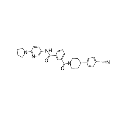 N#Cc1ccc(C2CCN(C(=O)c3cccc(C(=O)Nc4ccc(N5CCCC5)nc4)c3)CC2)cc1